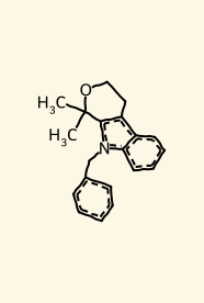 CC1(C)OCCc2c1n(Cc1ccccc1)c1ccccc21